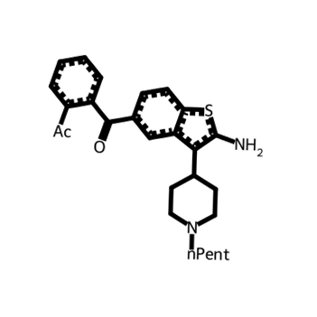 CCCCCN1CCC(c2c(N)sc3ccc(C(=O)c4ccccc4C(C)=O)cc23)CC1